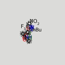 CCCCc1nn(-c2cc([N+](=O)[O-])ccc2C(F)(F)F)c(=O)n1Cc1ccc(-c2ccccc2S(=O)(=O)NC(=O)c2ccccc2Cl)cc1F